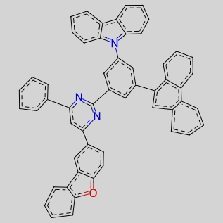 c1ccc(-c2cc(-c3ccc4oc5ccccc5c4c3)nc(-c3cc(-c4cc5ccccc5c5ccccc45)cc(-n4c5ccccc5c5ccccc54)c3)n2)cc1